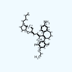 C=C/C(=C\C=C(/C)C1=C(c2cc(F)c(OCC)cc2F)CCCc2cc(N)ccc21)O[C@H]1CCN(CCCF)C1